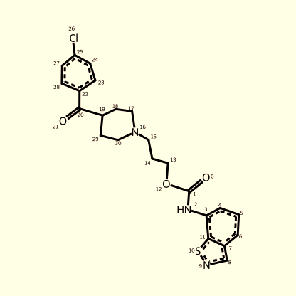 O=C(Nc1cccc2cnsc12)OCCCN1CCC(C(=O)c2ccc(Cl)cc2)CC1